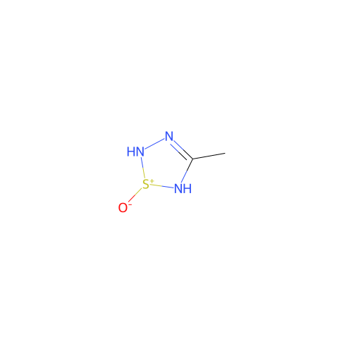 CC1=NN[S+]([O-])N1